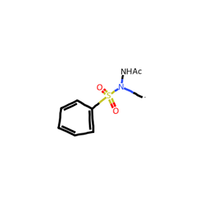 [CH2]N(NC(C)=O)S(=O)(=O)c1ccccc1